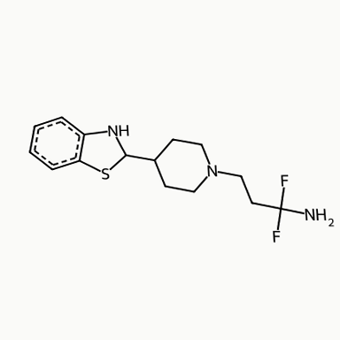 NC(F)(F)CCN1CCC(C2Nc3ccccc3S2)CC1